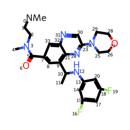 CNCCN(C)C(=O)c1cc(C(C)Nc2cc(F)cc(F)c2)c2nc(N3CCOCC3)cnc2c1